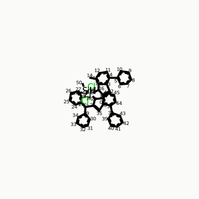 CC1=Cc2c(-c3ccccc3)ccc(C)c2[CH]1[Zr]([Cl])([Cl])([CH]1C(C(c2ccccc2)c2ccccc2)=Cc2c(-c3ccccc3)cccc21)[SiH](C)C